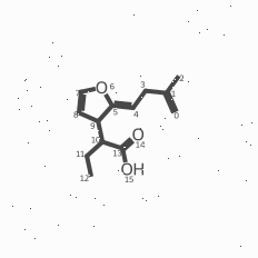 C=C(C)CC=C1OC=CC1C(CC)C(=O)O